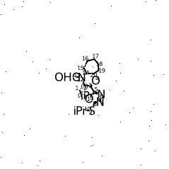 CC(C)C[C@@H](C(=O)c1nnc(SC(C)C)o1)N(C=O)C1CCCCCC1